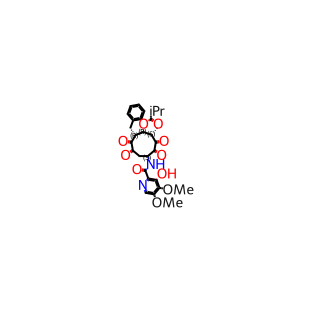 COc1cnc(C(=O)N[C@H]2CC(=O)C(=O)[C@H](Cc3ccccc3)[C@H](OC(=O)C(C)C)[C@H](C)C(=O)C2=O)c(O)c1OC